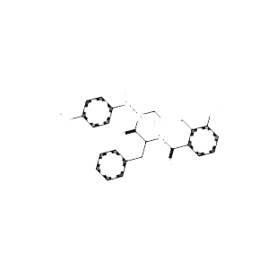 CCN(Nc1ccc(OC)cc1)C(=O)C(Cc1ccccc1)NC(=O)c1cccc(C)c1Cl